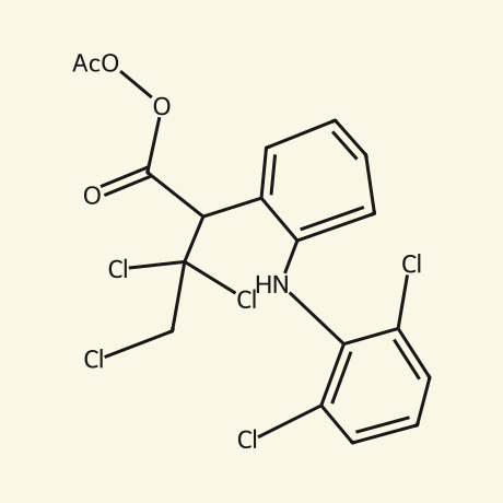 CC(=O)OOC(=O)C(c1ccccc1Nc1c(Cl)cccc1Cl)C(Cl)(Cl)CCl